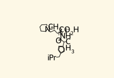 CC(C)Cc1ccc(C(C)C(=O)N[C@@H](CCC[N+]2(C)CCCCC2)C(=O)O)cc1.[I-]